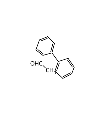 CC=O.c1ccc(-c2ccccc2)cc1